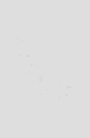 CC(NC(=O)c1c[nH]nn1)OC(=O)N1CCCCC1